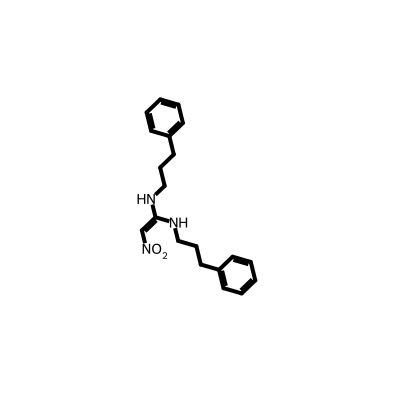 O=[N+]([O-])C=C(NCCCc1ccccc1)NCCCc1ccccc1